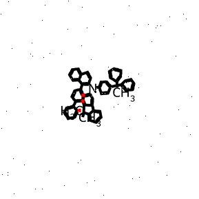 CC1(C)c2ccccc2-c2cc(N(c3ccc(C(C)(c4ccccc4)c4ccccc4)cc3)c3ccc4ccccc4c3-c3ccc(-c4ccccc4)cc3)ccc21